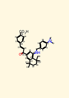 CN(C)c1ccc(CNc2cc(C(=O)C=Cc3ccc(C(=O)O)cc3)cc3c2C(C)(C)CCC3(C)C)cc1